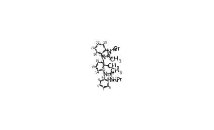 Cc1c(N2c3ccccc3N(C(C)C)[C@@H]2C)cccc1N1c2ccccc2N(C(C)C)[C@H]1C